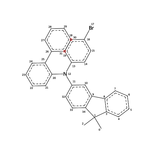 CC1(C)c2ccccc2-c2cc(N(c3ccc(Br)cc3)c3ccccc3-c3ccccc3)ccc21